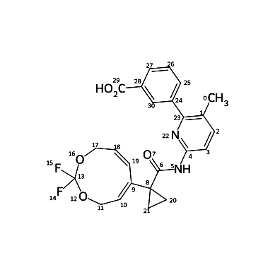 Cc1ccc(NC(=O)C2(C3=C/COC(F)(F)OC/C=C\3)CC2)nc1-c1cccc(C(=O)O)c1